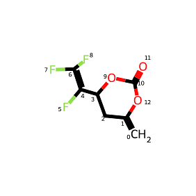 C=C1CC(C(F)=C(F)F)OC(=O)O1